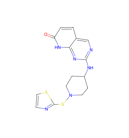 O=c1ccc2cnc(NC3CCN(Sc4nccs4)CC3)nc2[nH]1